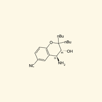 CCCCC1(CCCC)Oc2ccc(C#N)cc2[C@H](N)[C@H]1O